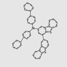 c1ccc(-c2ccc(N(c3ccc(-c4ccccc4)cc3)c3cc(-c4ccc5sc6ccccc6c5c4)c4sc5ccccc5c4c3)cc2)cc1